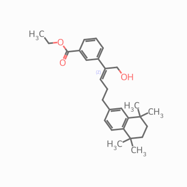 CCOC(=O)c1cccc(/C(=C/CCc2ccc3c(c2)C(C)(C)CCC3(C)C)CO)c1